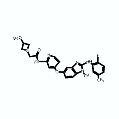 COC1CN(CC(=O)Nc2cc(Oc3ccc4c(c3)nc(Nc3cc(C(F)(F)F)ccc3F)n4C)ccn2)C1